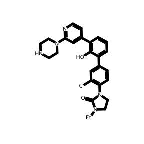 CCN1CCN(c2ccc(-c3cccc(-c4ccnc(N5CCNCC5)c4)c3O)cc2Cl)C1=O